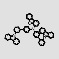 c1cc(-c2ccc(N(c3ccc(-c4ccccc4-n4c5ccccc5c5ccccc54)cc3)c3cccc4c3oc3ccccc34)cc2)cc(-n2c3ccccc3c3ccccc32)c1